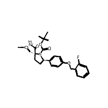 COC[C@@]1(C(N)=O)CC[C@H](c2ccc(OCc3ccccc3F)cc2)N1C(=O)OC(C)(C)C